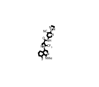 CNc1ncc(-n2ncc(C(=O)Nc3cnc(-n4nccn4)c(C#N)c3)c2C(F)(F)F)c2cccc(F)c12